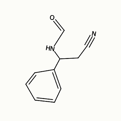 N#CCC(NC=O)c1ccccc1